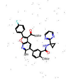 CCCc1nc2oc(-c3ccc(F)cc3)c(C(=O)NC)c2cc1-c1ccc(OC)c(C(=O)NC2(c3ncccn3)CC2)c1